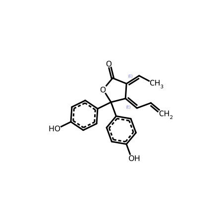 C=C/C=C1\C(=C/C)C(=O)OC1(c1ccc(O)cc1)c1ccc(O)cc1